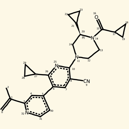 C=C(C)c1cc(-c2cc(C#N)c(N3CCN(C(=O)C4CC4)[C@H](C4CC4)C3)nc2C2CC2)ccn1